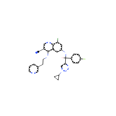 BC(Nc1cc(Cl)c2ncc(C#N)c(NCCc3cccnc3)c2c1)(c1ccc(F)cc1)c1cn(C2CC2)nn1